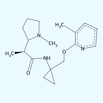 Cc1cccnc1OCC1(NC(=O)[C@@H](C)C2CCCN2C)CC1